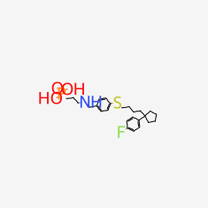 O=P(O)(O)CCCNCc1ccc(SCCCCC2(c3ccc(F)cc3)CCCC2)cc1